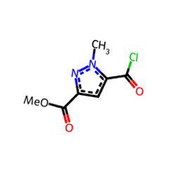 COC(=O)c1cc(C(=O)Cl)n(C)n1